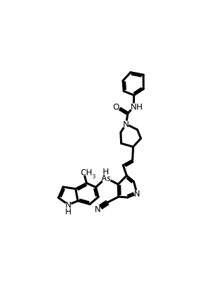 Cc1c([AsH]c2c(C#N)cncc2C=CC2CCN(C(=O)Nc3ccccc3)CC2)ccc2[nH]ccc12